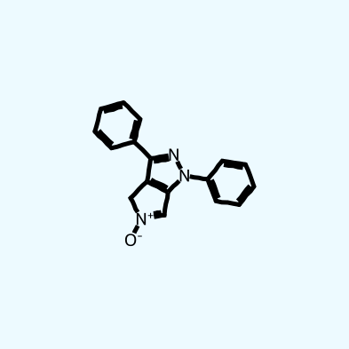 [O-][N+]1=Cc2c(c(-c3ccccc3)nn2-c2ccccc2)C1